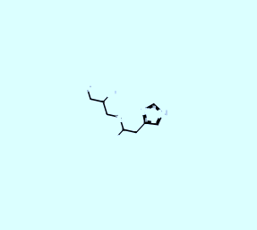 O=C(O)C(Cc1c[nH]cn1)NCC(O)CO